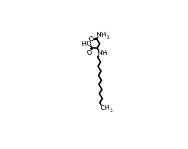 CCCCCCCCCCCCNC(CC(N)=O)C(=O)O